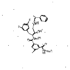 CCCNC(=O)c1cc(C)cc(C(=O)N(CCC)[C@@H](Cc2cc(F)cc(F)c2)[C@H](O)CNCC(C)c2ccccc2)c1